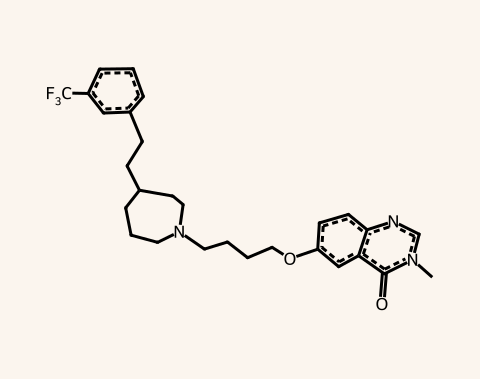 Cn1cnc2ccc(OCCCCN3CCCC(CCc4cccc(C(F)(F)F)c4)CC3)cc2c1=O